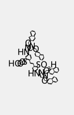 O=S(=O)(O)c1cc(Nc2cc(Oc3ccc4ccccc4c3)nc(Oc3ccc4ccccc4c3)n2)ccc1C=Cc1ccc(Nc2cc(Oc3ccc4ccccc4c3)nc(Oc3ccc4ccccc4c3)n2)cc1SOOO